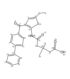 CCc1cc(C(=O)c2ccc(-c3ccccc3)cc2)c(NC(=O)CC(C)(C)CC(=O)O)s1